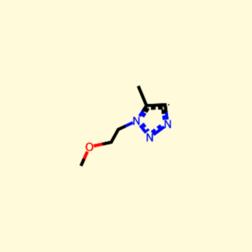 COCCn1nn[c]c1C